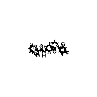 Cc1cc(N2CCC[C@]3(CC[C@@H](NC(=O)c4cnn5cccnc45)CC3)C2=O)c(Cl)cc1F